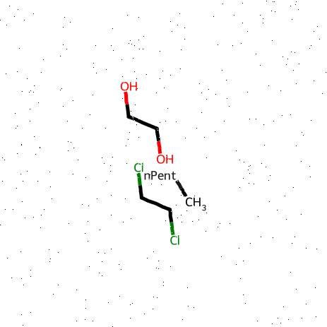 CCCCCC.ClCCCl.OCCO